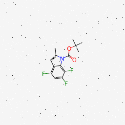 Cc1cc2c(F)cc(F)c(F)c2n1C(=O)OC(C)(C)C